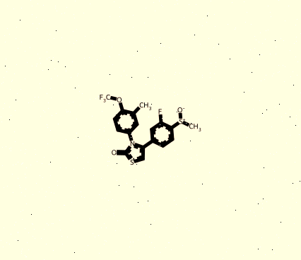 Cc1cc(-n2c(-c3ccc([S+](C)[O-])c(F)c3)csc2=O)ccc1OC(F)(F)F